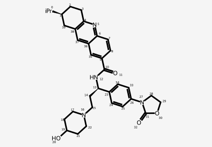 CC(C)[C@H]1CCc2nc3ccc(C(=O)N[C@H](CCN4CCC(O)CC4)c4ccc(N5CCOC5=O)cc4)cc3cc2C1